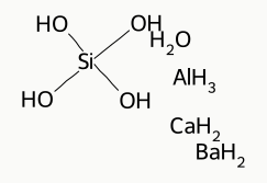 O.O[Si](O)(O)O.[AlH3].[BaH2].[CaH2]